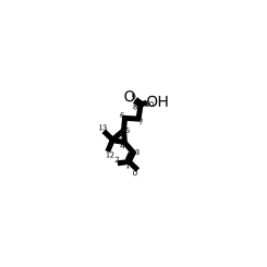 CC(C)=CC1C(CCC(=O)O)C1(C)C